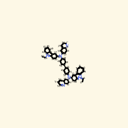 CCn1c2ccccc2c2cc(N(c3ccc(-c4ccc(N(c5ccc6ncccc6c5)c5ccc6c(c5)c5ccccc5n6CC)cc4)cc3)c3ccc4ncccc4c3)ccc21